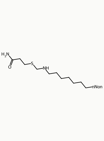 CCCCCCCCCCCCCCCCNCSCCC(N)=O